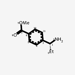 CC[C@@H](N)c1ccc(C(=O)OC)cc1